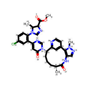 COC(=O)C1N=CN(c2ccc(Cl)cc2-c2cc(=O)n([C@H]3CCC[C@@H](C)C(=O)Nc4cnn(C)c4-c4ccnc3c4)cn2)C1C